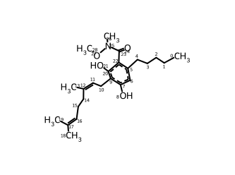 CCCCCc1cc(O)c(CC=C(C)CCC=C(C)C)c(O)c1C(=O)N(C)OC